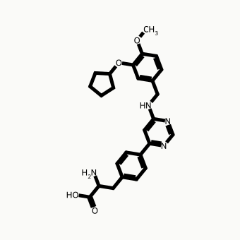 COc1ccc(CNc2cc(-c3ccc(CC(N)C(=O)O)cc3)ncn2)cc1OC1CCCC1